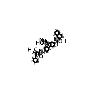 CC1=NN(c2ccccc2)C(=O)C1N=Nc1ccc(-c2ccc(N=Nc3c(O)ccc4ccccc34)cc2S(=O)(=O)O)c(S(=O)(=O)O)c1.[Na].[Na]